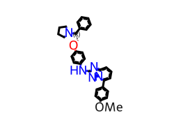 COc1ccc(-c2cccc3nc(Nc4ccc(OC[C@@H](c5ccccc5)N5CCCC5)cc4)nn23)cc1